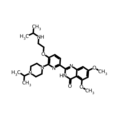 COc1cc(OC)c2c(=O)[nH]c(-c3ccc(OCCNC(C)C)c(N4CCN(C(C)C)CC4)n3)nc2c1